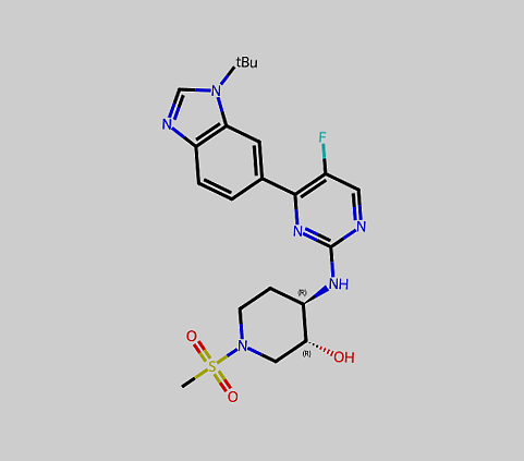 CC(C)(C)n1cnc2ccc(-c3nc(N[C@@H]4CCN(S(C)(=O)=O)C[C@H]4O)ncc3F)cc21